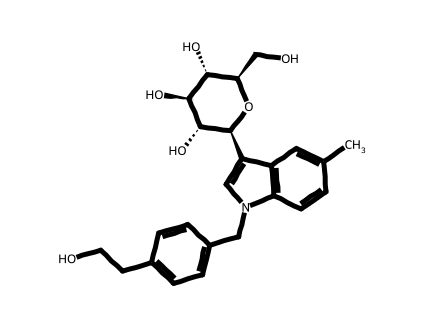 Cc1ccc2c(c1)c([C@@H]1O[C@H](CO)[C@@H](O)[C@H](O)[C@H]1O)cn2Cc1ccc(CCO)cc1